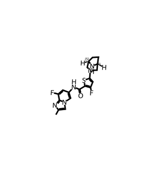 Cc1cn2cc(NC(=O)c3sc(N4C[C@H]5CC[C@@H](C4)N5)cc3F)cc(F)c2n1